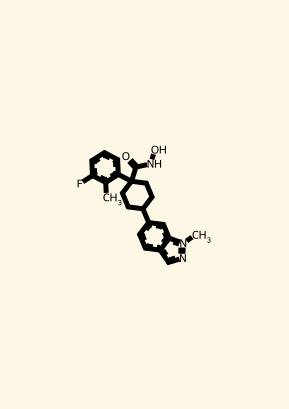 Cc1c(F)cccc1C1(C(=O)NO)CCC(c2ccc3cnn(C)c3c2)CC1